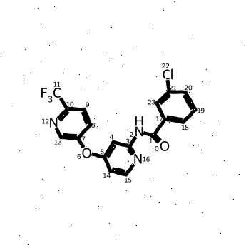 O=C(Nc1cc(Oc2ccc(C(F)(F)F)nc2)ccn1)c1cccc(Cl)c1